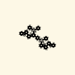 c1ccc(-c2nc(-c3ccc(-c4cc(-c5nc(-c6ccccc6)nc(-c6ccccc6)n5)c5sc6c(-c7cccc8c7oc7ccccc78)cccc6c5c4)cc3)nc(-c3cccc4c3oc3c(-c5cccc6c5sc5ccccc56)cccc34)n2)cc1